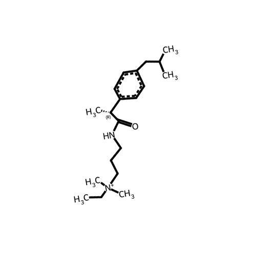 CC[N+](C)(C)CCCNC(=O)[C@H](C)c1ccc(CC(C)C)cc1